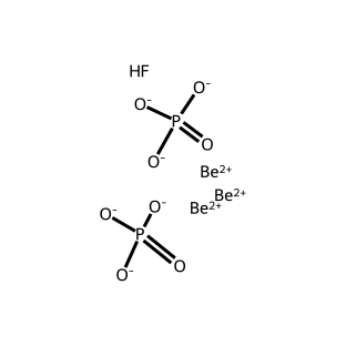 F.O=P([O-])([O-])[O-].O=P([O-])([O-])[O-].[Be+2].[Be+2].[Be+2]